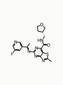 C/C(=N\c1nc(C(=O)NC[C@@H]2CCOC2)c2sc(C)nc2n1)c1cncc(F)c1